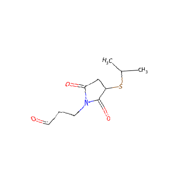 CC(C)SC1CC(=O)N(CCC=O)C1=O